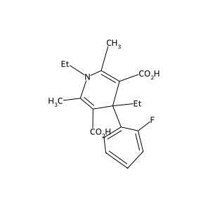 CCN1C(C)=C(C(=O)O)C(CC)(c2ccccc2F)C(C(=O)O)=C1C